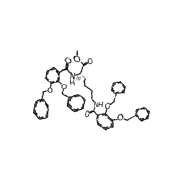 COC(=O)[C@H](CCCCNC(=O)c1cccc(OCc2ccccc2)c1OCc1ccccc1)NC(=O)c1cccc(OCc2ccccc2)c1OCc1ccccc1